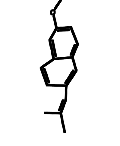 COc1ccc2cc(C=C(C)C)ccc2c1